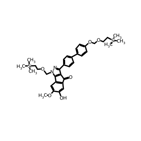 COc1cc2c(cc1O)C(=O)c1c(-c3ccc(-c4ccc(OCOCC[Si](C)(C)C)cc4)cc3)nn(COCC[Si](C)(C)C)c1-2